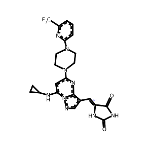 O=C1NC(=O)/C(=C/c2cnn3c(NC4CC4)cc(N4CCN(c5cccc(C(F)(F)F)n5)CC4)nc23)N1